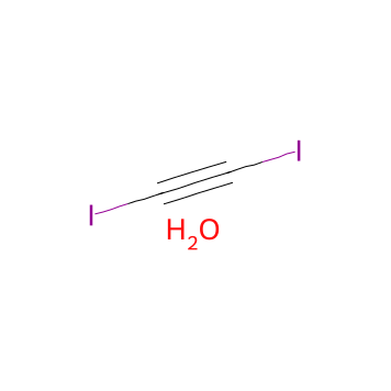 IC#CI.O